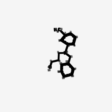 Cc1cccc(N(CCC[O])Cc2ccccc2)c1